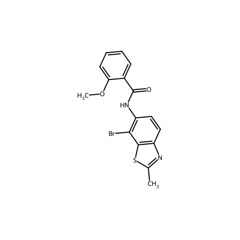 COc1ccccc1C(=O)Nc1ccc2nc(C)sc2c1Br